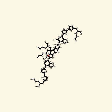 CCCCC(CC)Cc1ccc(-c2ccc(-c3cc(F)c(-c4cc5c(s4)-c4sc6cc(-c7c(F)cc(-c8ccc(-c9ccc(CC(CC)CCCC)s9)s8)c8nsnc78)sc6c4C5(CC(CC)CCCC)CC(CC)CCCC)c4nsnc34)s2)s1